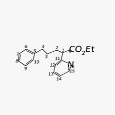 CCOC(=O)C(CCCc1ccccc1)c1ccccn1